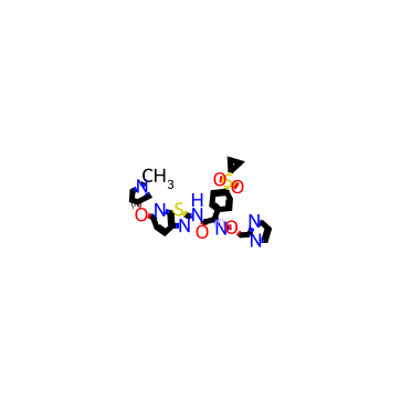 CN1CC[C@@H](Oc2ccc3nc(NC(=O)/C(=N/OCc4ncccn4)c4ccc(S(=O)(=O)C5CC5)cc4)sc3n2)C1